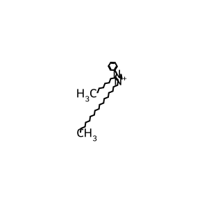 CCCCCCCCCCCCCCCCC[n+]1ccn(-c2ccccc2)c1CCCCCCC